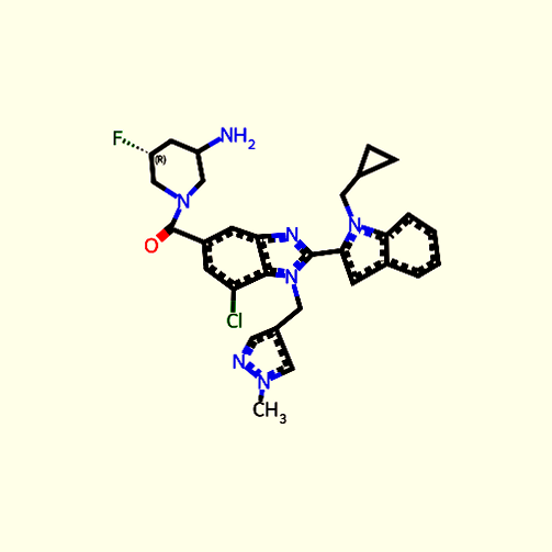 Cn1cc(Cn2c(-c3cc4ccccc4n3CC3CC3)nc3cc(C(=O)N4CC(N)C[C@@H](F)C4)cc(Cl)c32)cn1